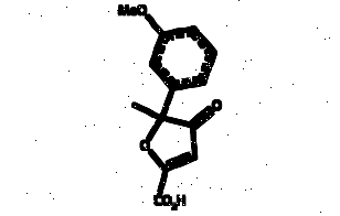 COc1cccc(C2(C)OC(C(=O)O)=CC2=O)c1